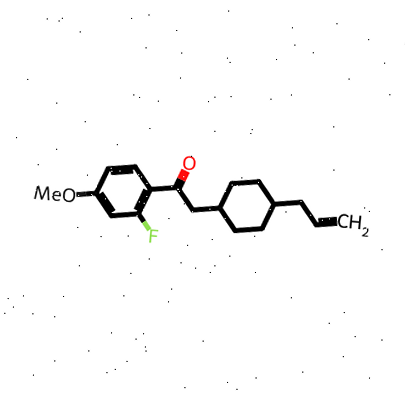 C=CCC1CCC(CC(=O)c2ccc(OC)cc2F)CC1